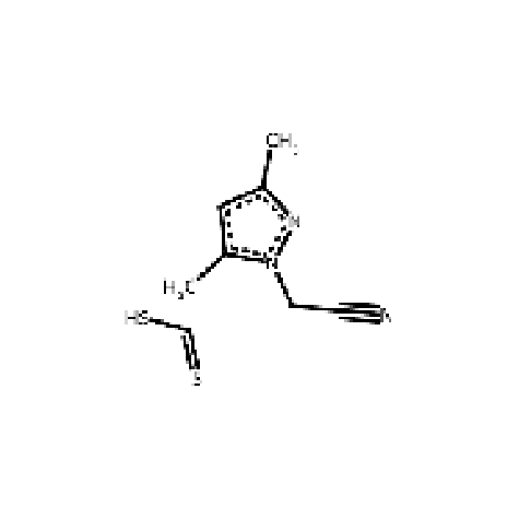 Cc1cc(C)n(CC#N)n1.S=CS